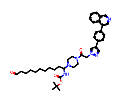 CC(C)(C)OC(=O)NC(CCCCCCCCCC=O)N1CCN(C(=O)Cn2cc(-c3ccc(-c4cncc5ccccc45)cc3)cn2)CC1